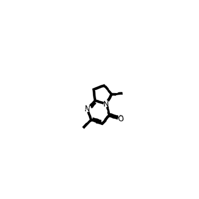 Cc1cc(=O)n2c(n1)CCC2C